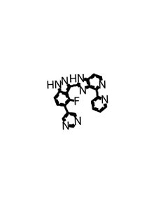 Fc1c(-c2cncnc2)ccc2[nH]nc(-c3nc4c(-c5ccccn5)nccc4[nH]3)c12